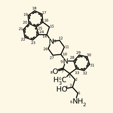 CC1(CC(O)CN)C(=O)N(C2CCN(C3Cc4cccc5cccc3c45)CC2)c2ccccc21